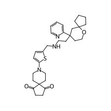 O=C1CCC(=O)C12CCN(c1ccc(CNCCC3(c4ccccn4)CCOC4(CCCC4)C3)s1)CC2